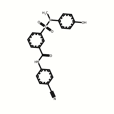 CN(c1ccc(O)cc1)S(=O)(=O)c1cccc(C(=O)Nc2ccc(C#N)cc2)c1